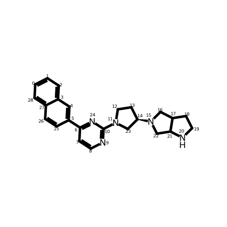 c1ccc2cc(-c3ccnc(N4CC[C@@H](N5CC6CCNC6C5)C4)n3)ccc2c1